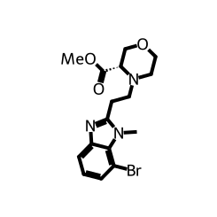 COC(=O)[C@@H]1COCCN1CCc1nc2cccc(Br)c2n1C